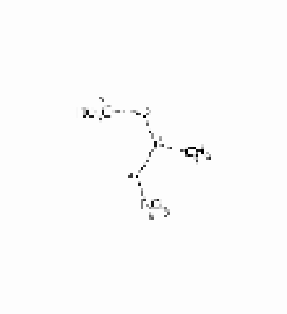 CC(CC(=O)O)C[N+](=O)[O-]